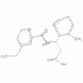 CCc1ccnc(C(=O)N[C@@H](CC(=O)O)c2ccccc2C)c1